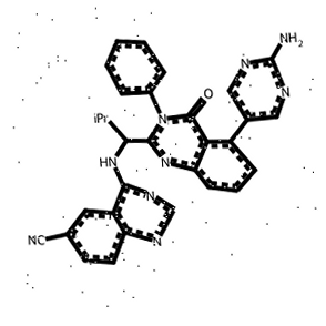 CC(C)C(Nc1ncnc2ccc(C#N)cc12)c1nc2cccc(-c3cnc(N)nc3)c2c(=O)n1-c1ccccc1